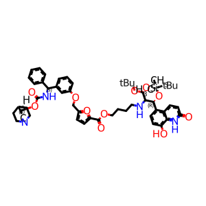 CC(C)(C)OC(=O)C(NCCCCOC(=O)c1ccc(COc2cccc([C@@H](NC(=O)O[C@H]3CN4CCC3CC4)c3ccccc3)c2)o1)[C@H](O[Si](C)(C)C(C)(C)C)c1ccc(O)c2[nH]c(=O)ccc12